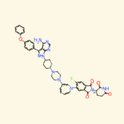 Nc1ncnc2c1c(-c1ccc(Oc3ccccc3)cc1)nn2C1CCC(N2CCN(C3=CN(c4cc5c(cc4F)C(=O)N([C@@H]4CCC(=O)NC4=O)C5=O)C=CC=C3)CC2)CC1